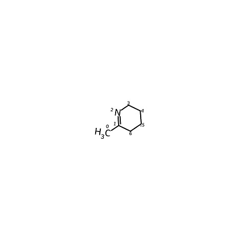 CC1=NCC[CH]C1